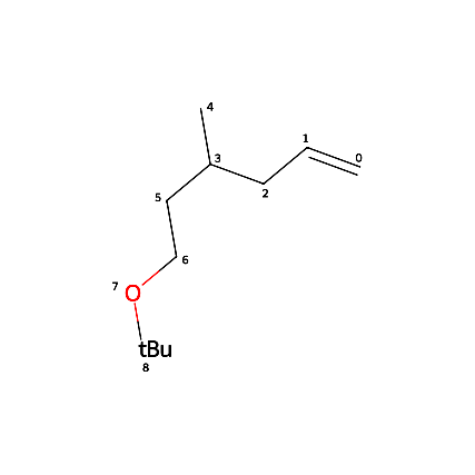 C=CCC(C)CCOC(C)(C)C